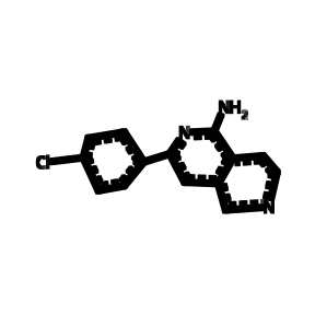 Nc1nc(-c2ccc(Cl)cc2)cc2cnccc12